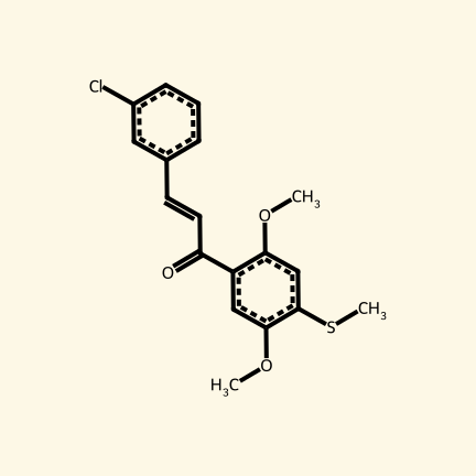 COc1cc(C(=O)C=Cc2cccc(Cl)c2)c(OC)cc1SC